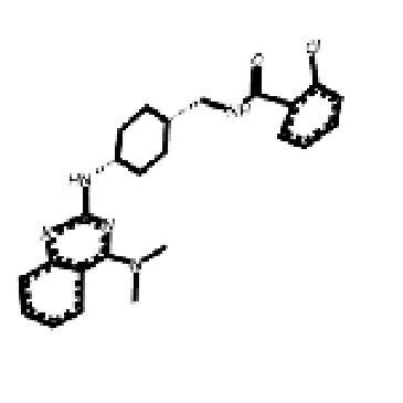 CN(C)c1nc(N[C@H]2CC[C@@H](CNC(=O)c3ccccc3Cl)CC2)nc2ccccc12